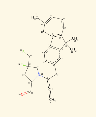 C=C=C(Cc1ccc2c(c1)C(C)(C)C1=C2CC(C)=CC=C1)N1C[C@@](F)(CF)CC1C=O